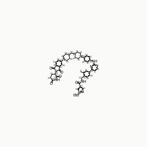 Cc1cc(-c2ccnc(Nc3ccc(N4CCN(CC5CCN(c6ccc7c(c6)C(=O)N(C6CCC(=O)NC6=O)C7=O)CC5)CC4)cc3)n2)ccc1CNC(=O)c1cnn(C(C)(C)C)c1